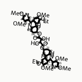 CCOc1cc2c(cc1OC)C(c1cnc(OC)cc1OC)=N[C@H]1CC[C@H](OC(=O)C(O)C(O)C(=O)O[C@H]3CC[C@@H]4N=C(c5cnc(OC)cc5OC)c5cc(OC)c(OCC)cc5[C@@H]4C3)C[C@@H]21